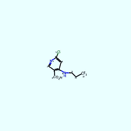 O=C(O)c1cnc(Cl)cc1NCCC(F)(F)F